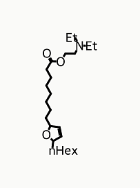 CCCCCCC1C=CC(CCCCCCCC(=O)OCCN(CC)CC)O1